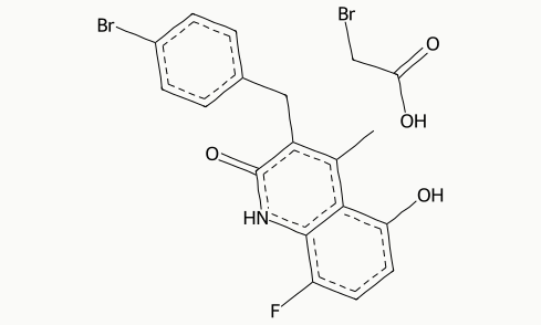 Cc1c(Cc2ccc(Br)cc2)c(=O)[nH]c2c(F)ccc(O)c12.O=C(O)CBr